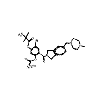 CNC(=O)Oc1cc(OC(=O)C(C)(C)N)c(C(C)C)cc1C(=O)N1Cc2ccc(CN3CCN(C)CC3)cc2C1